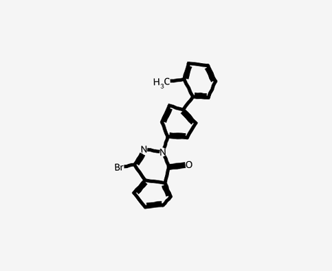 Cc1ccccc1-c1ccc(-n2nc(Br)c3ccccc3c2=O)cc1